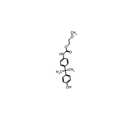 COCCOC(=O)Nc1ccc(C(C)(C)c2ccc(O)cc2)cc1